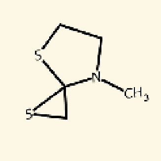 CN1CCSC12CS2